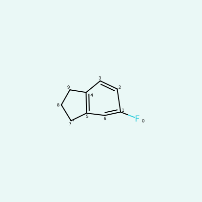 Fc1ccc2c(c1)[CH]CC2